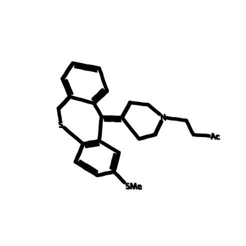 CSc1ccc2c(c1)C(=C1CCN(CCC(C)=O)CC1)c1ccccc1CS2